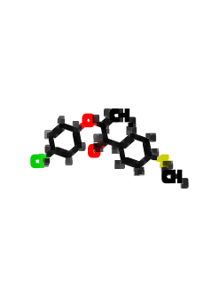 C=C(Oc1ccc(Cl)cc1)C(=O)c1ccc(SC)cc1